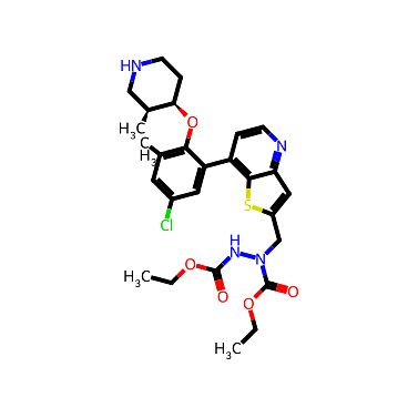 CCOC(=O)NN(Cc1cc2nccc(-c3cc(Cl)cc(C)c3O[C@@H]3CCNC[C@@H]3C)c2s1)C(=O)OCC